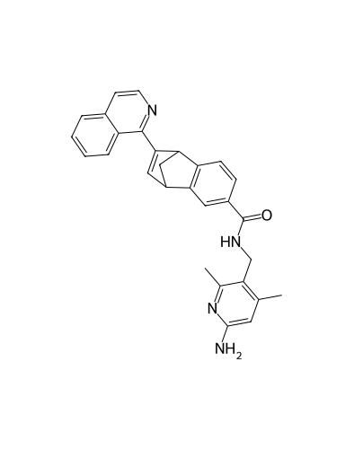 Cc1cc(N)nc(C)c1CNC(=O)c1ccc2c(c1)C1C=C(c3nccc4ccccc34)C2C1